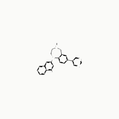 CN1CCN(c2cc(F)c3ccccc3c2)c2ccc(-c3cncnc3)cc2C1